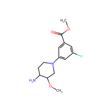 COC(=O)c1cc(F)cc(N2CCC(N)C(OC)C2)c1